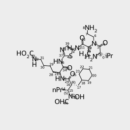 CC(C)[C@H](N)C(=O)N(CCN)[C@@H](C)C(N)=O.CCC[C@@H]([C@@H](CC1CCCCC1)C(=O)N[C@@H](CCCCNC(=O)O)C(=O)Nc1nccs1)N(O)C=O